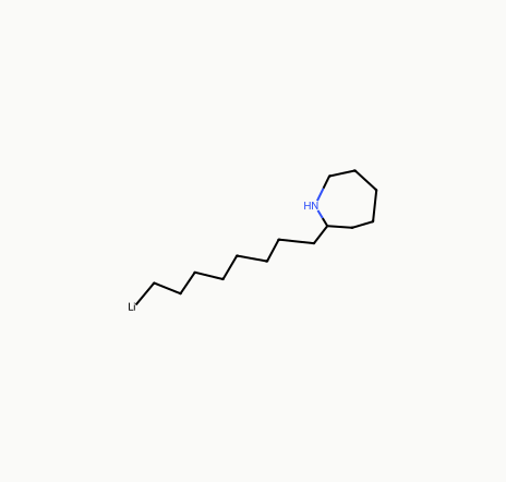 [Li][CH2]CCCCCCCC1CCCCCN1